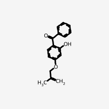 C=C(C)COc1ccc(C(=O)c2ccccc2)c(O)c1